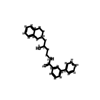 O=C(NCCC(O)CN1CCc2ccccc2C1)c1cccc(-c2ccnnc2)c1